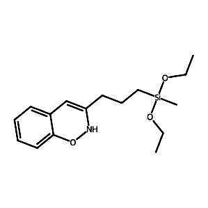 CCO[Si](C)(CCCC1=Cc2ccccc2ON1)OCC